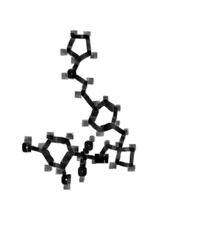 O=S(=O)(NCC1(Cc2ccc(CCOC3CCCC3)cc2)CCC1)c1ccc(Cl)cc1Cl